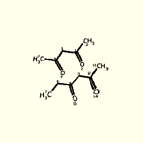 CC(=O)CC(C)=O.CCC(=O)CC(C)=O